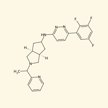 CC(c1ccccn1)N1C[C@H]2CC(Nc3ccc(-c4cc(F)cc(F)c4F)nn3)C[C@H]2C1